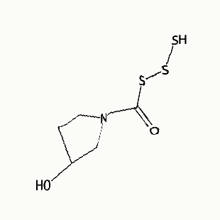 O=C(SSS)N1CCC(O)C1